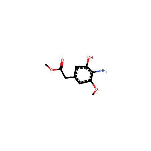 COC(=O)Cc1cc(O)c(N)c(OC)c1